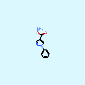 NOC(=O)c1cnn(-c2ccccc2)c1